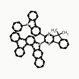 CC1(C)c2ccccc2-c2nc(-n3c4cc5ccccc5cc4c4c5c6ccccc6c6ccccc6c5ccc43)c(-c3ccc4c(c3)c3ccccc3n4-c3ccccc3)nc21